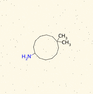 CC1(C)CCCCCC(N)CCCCC1